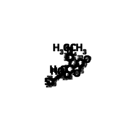 CN(C)c1ccc(C2CC3(C)C(CCC3(O)C#Cc3ccsc3)C3OCC4=CC(=O)CCC4=C23)cc1